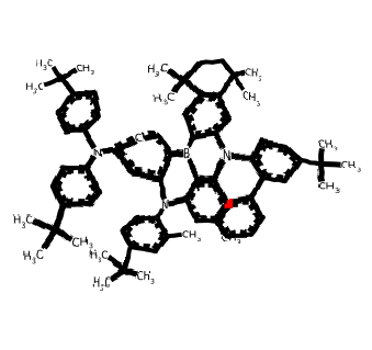 Cc1cc2c3c(c1)N(c1ccc(C(C)(C)C)cc1-c1ccccc1)c1cc4c(cc1B3c1ccc(N(c3ccc(C(C)(C)C)cc3)c3ccc(C(C)(C)C)cc3)cc1N2c1ccc(C(C)(C)C)cc1C)C(C)(C)CCC4(C)C